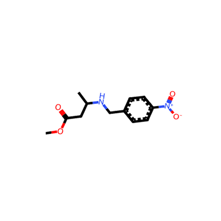 COC(=O)CC(C)NCc1ccc([N+](=O)[O-])cc1